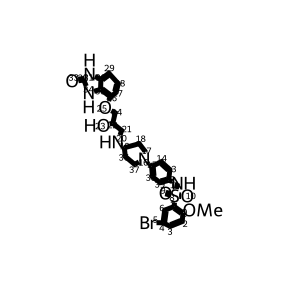 COc1ccc(Br)cc1S(=O)(=O)Nc1ccc(N2CCC(NCC(O)COc3cccc4[nH]c(=O)[nH]c34)CC2)cc1